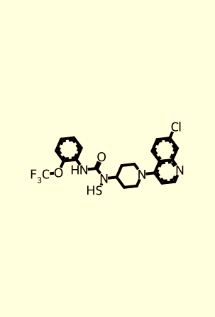 O=C(Nc1ccccc1OC(F)(F)F)N(S)C1CCN(c2ccnc3cc(Cl)ccc23)CC1